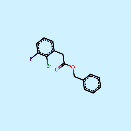 O=C(Cc1cccc(I)c1Br)OCc1ccccc1